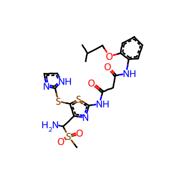 CC(C)COc1ccccc1NC(=O)CC(=O)Nc1nc(C(N)S(C)(=O)=O)c(Sc2ncc[nH]2)s1